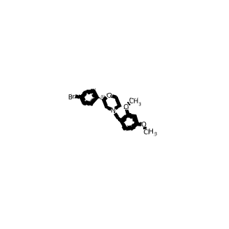 COc1ccc(CN2CCO[C@@H](c3ccc(Br)cc3)C2)c(OC)c1